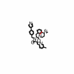 Cc1ccc(C=CC(=O)N(Cc2ccc(-c3ccncc3)cc2)C(Cc2ccccc2)C(=O)N2CCC(N(C)C)CC2)nc1